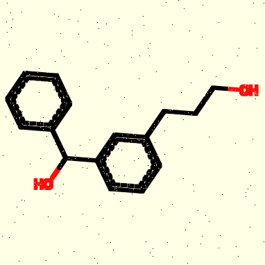 OCCCc1cccc(C(O)c2ccccc2)c1